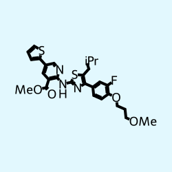 COCCCOc1ccc(-c2nc(Nc3ncc(-c4cccs4)cc3C(=O)OC)sc2CC(C)C)cc1F